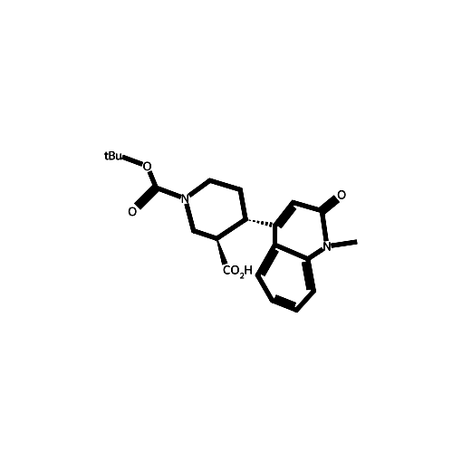 Cn1c(=O)cc([C@H]2CCN(C(=O)OC(C)(C)C)C[C@@H]2C(=O)O)c2ccccc21